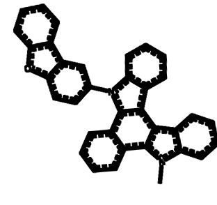 Cn1c2ccccc2c2c3c4ccccc4n(-c4ccc5oc6ccccc6c5c4)c3c3ccccc3c21